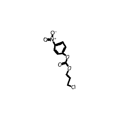 O=C(OCCCCl)Oc1ccc([N+](=O)[O-])cc1